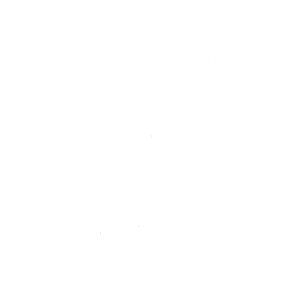 O=C(O)/C=C/c1ccc(-c2ccc3c(c2)OCO3)o1